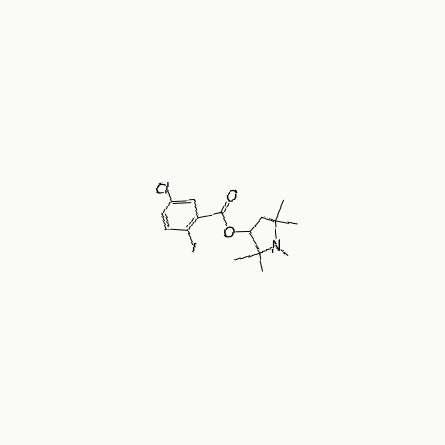 CN1C(C)(C)CC(OC(=O)c2cc(Cl)ccc2I)C1(C)C